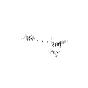 CC[C@@]1(O)C(=O)OCc2c1cc1n(c2=O)Cc2c-1nc1cc(F)c(C)c3c1c2[C@@H](NC(=O)OCc1ccc(NC(=O)[C@H](CCCNC(N)=O)NC(=O)[C@@H](NC(=O)[C@H](CCCCNC(=O)CCOCCOCCOCCOCCOCCOCCOCCOCCN(C[C@H](O)[C@@H](O)[C@H](O)[C@H](O)CO)C[C@H](O)[C@@H](O)[C@H](O)[C@H](O)CO)NC(=O)CCCCCN2C(=O)C=CC2=O)C(C)C)cc1)CC3